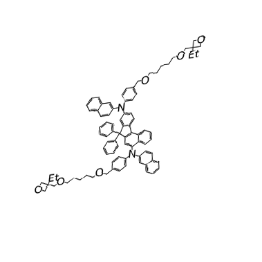 CCC1(COCCCCCOCc2ccc(N(c3ccc4c(c3)C(c3ccccc3)(c3ccccc3)c3cc(N(c5ccc(COCCCCCOCC6(CC)COC6)cc5)c5ccc6ccccc6c5)c5ccccc5c3-4)c3ccc4ccccc4c3)cc2)COC1